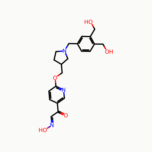 O=C(/C=N/O)c1ccc(OCC2CCN(Cc3ccc(CO)c(CO)c3)C2)nc1